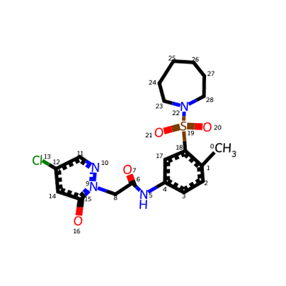 Cc1ccc(NC(=O)Cn2ncc(Cl)cc2=O)cc1S(=O)(=O)N1CCCCCC1